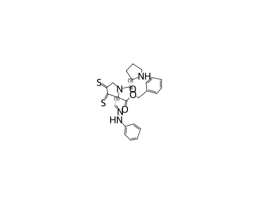 O=C([C@@H]1CCCN1)N1CC(=S)C(=S)[C@]1(C=NNc1ccccc1)C(=O)OCc1ccccc1